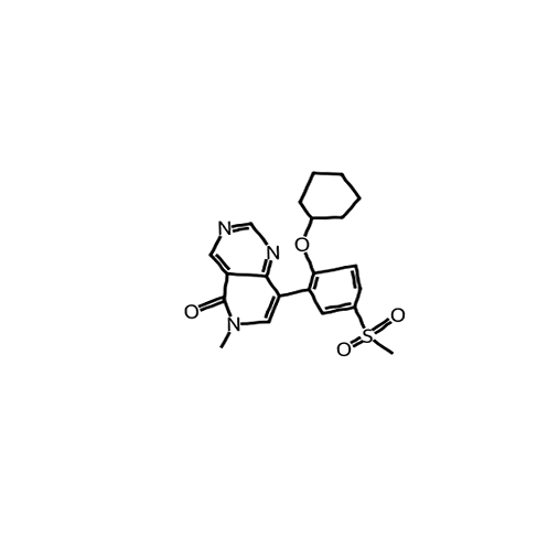 Cn1cc(-c2cc(S(C)(=O)=O)ccc2OC2CCCCC2)c2ncncc2c1=O